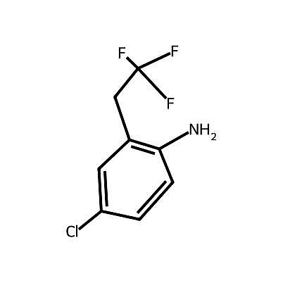 Nc1ccc(Cl)cc1CC(F)(F)F